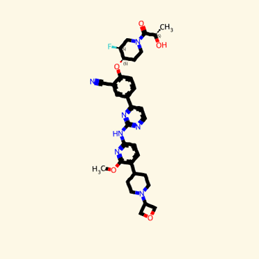 COc1nc(Nc2nccc(-c3ccc(O[C@H]4CCN(C(=O)[C@H](C)O)C[C@@H]4F)c(C#N)c3)n2)ccc1C1CCN(C2COC2)CC1